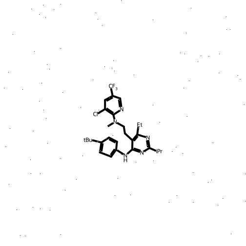 CCc1nc(C(C)C)nc(Nc2ccc(C(C)(C)C)cc2)c1CCN(C)c1ncc(C(F)(F)F)cc1Cl